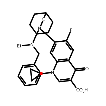 CCN(Cc1ccccc1)C12CCC(CC1)CN2c1cc2c(cc1F)c(=O)c(C(=O)O)cn2C1CC1